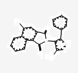 Cc1n[nH]c(-c2ccccc2)c1N1C(=O)c2cc(Br)c3ccccc3c2C1=O